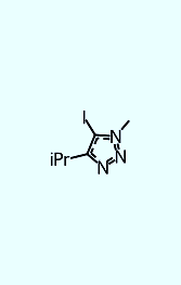 CC(C)c1nnn(C)c1I